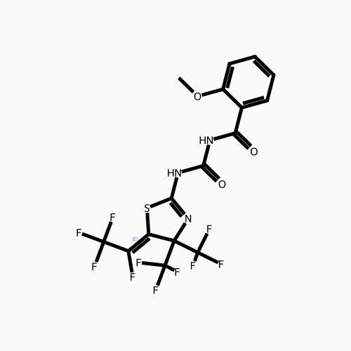 COc1ccccc1C(=O)NC(=O)NC1=NC(C(F)(F)F)(C(F)(F)F)/C(=C(\F)C(F)(F)F)S1